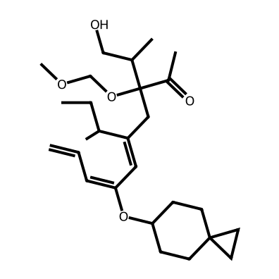 C=C/C=C(\C=C(\CC(OCOC)(C(C)=O)C(C)CO)C(C)CC)OC1CCC2(CC1)CC2